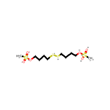 CS(=O)(=O)OCCCCSSCCCCOS(C)(=O)=O